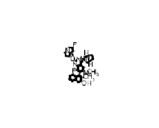 CN(C)c1cc2c(N3C[C@H]4CC[C@@H](C3)N4)nc(OC[C@@]34CCCN3C[C@H](F)C4)nc2c(F)c1-c1cc(O)cc2ccccc12